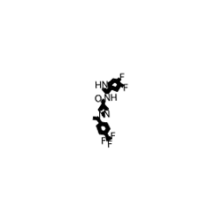 CC(c1ccc(C(F)(F)F)cc1)n1cc(C(=O)Nc2c[nH]c3cc(F)c(F)cc23)cn1